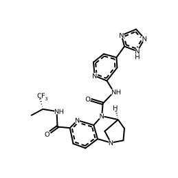 C[C@@H](NC(=O)c1ccc2c(n1)N(C(=O)Nc1cc(-c3ncn[nH]3)ccn1)[C@H]1CCN2C1)C(F)(F)F